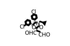 O=CCC(C=O)[C@H]1O[C@H](c2cccc(Cl)c2)[C@H](c2ccc(Cl)cc2)N(CC2CC2)C1=O